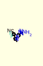 Cc1ccc(-c2ccc(C#N)c(F)c2F)c(N2CCC(c3nnc(N)n3C)CC2)n1